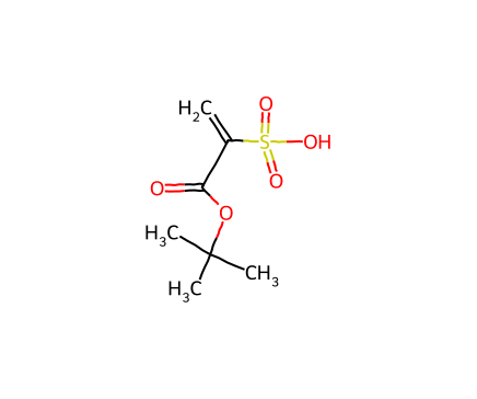 C=C(C(=O)OC(C)(C)C)S(=O)(=O)O